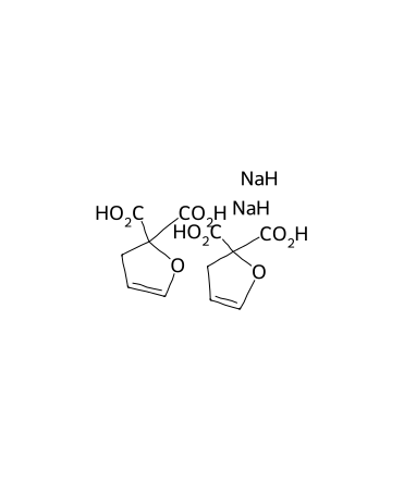 O=C(O)C1(C(=O)O)CC=CO1.O=C(O)C1(C(=O)O)CC=CO1.[NaH].[NaH]